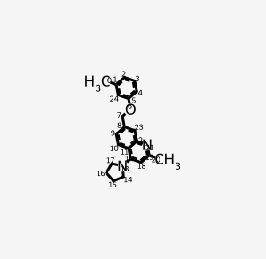 Cc1cccc(OCc2ccc3c(N4CCCC4)cc(C)nc3c2)c1